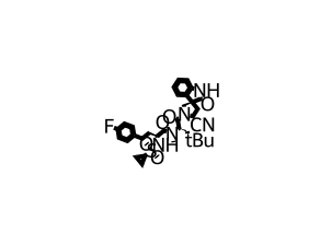 CN(C(=O)[C@H](CCc1ccc(F)cc1)NS(=O)(=O)C1CC1)[C@@H](CC(C)(C)C)C(=O)N1C[C@]2(C[C@H]1C#N)C(=O)Nc1ccccc12